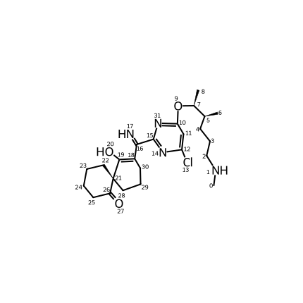 CNCCC[C@H](C)[C@H](C)Oc1cc(Cl)nc(C(=N)C2=C(O)[C@]3(CCCCC3=O)CCC2)n1